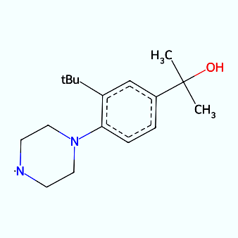 CC(C)(C)c1cc(C(C)(C)O)ccc1N1CC[N]CC1